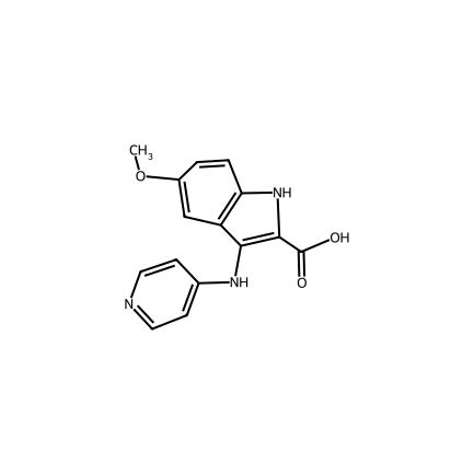 COc1ccc2[nH]c(C(=O)O)c(Nc3ccncc3)c2c1